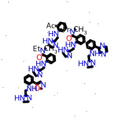 CC(=O)c1ccccc1NCC1=NCCN1.CCCN(C)C(=O)c1ccccc1NCC1=NCCN1.CCN(C)C(=O)c1ccccc1NCC1=NCCN1.c1ccc(-c2cnccn2)c(NCC2=NCCN2)c1.c1ccc(-c2cnco2)c(NCC2=NCCN2)c1